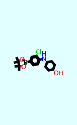 CC1(C)OB(c2ccc(N[C@H]3CC[C@H](O)CC3)c(Cl)c2)OC1(C)C